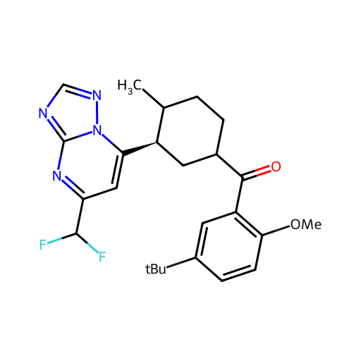 COc1ccc(C(C)(C)C)cc1C(=O)C1CCC(C)[C@H](c2cc(C(F)F)nc3ncnn23)C1